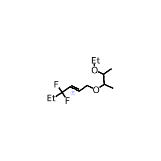 CCOC(C)C(C)OC/C=C/C(F)(F)CC